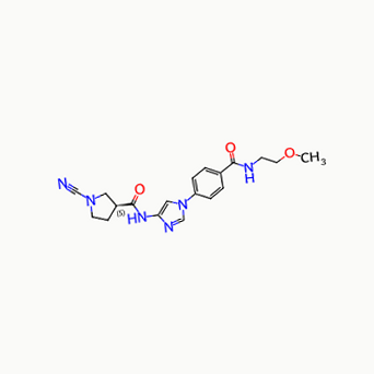 COCCNC(=O)c1ccc(-n2cnc(NC(=O)[C@H]3CCN(C#N)C3)c2)cc1